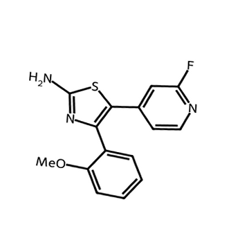 COc1ccccc1-c1nc(N)sc1-c1ccnc(F)c1